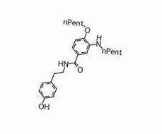 CCCCCNc1cc(C(=O)NCCc2ccc(O)cc2)ccc1OCCCCC